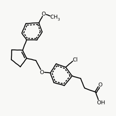 COc1ccc(C2=C(COc3ccc(CCC(=O)O)c(Cl)c3)CCC2)cc1